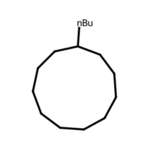 CCCCC1CCCCCCCCCC1